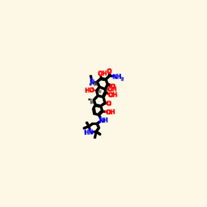 C[C@H]1c2ccc(NC3CC(C)(C)NC(C)(C)C3)c(O)c2C(=O)C2=C(O)[C@]3(O)C(=O)C(C(N)=O)=C(O)[C@@H](N(C)C)C3[C@@H](O)C21